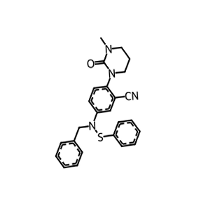 CN1CCCN(c2ccc(N(Cc3ccccc3)Sc3ccccc3)cc2C#N)C1=O